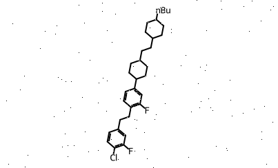 CCCCC1CCC(CCC2CCC(c3ccc(CCc4ccc(Cl)c(F)c4)c(F)c3)CC2)CC1